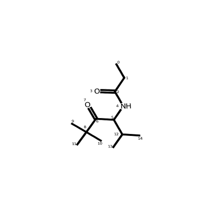 CCC(=O)NC(C(=O)C(C)(C)C)C(C)C